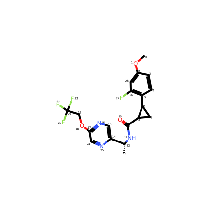 COc1ccc(C2CC2C(=O)N[C@H](C)c2cnc(OCC(F)(F)F)cn2)c(F)c1